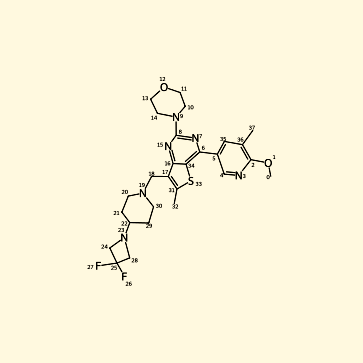 COc1ncc(-c2nc(N3CCOCC3)nc3c(CN4CCC(N5CC(F)(F)C5)CC4)c(C)sc23)cc1C